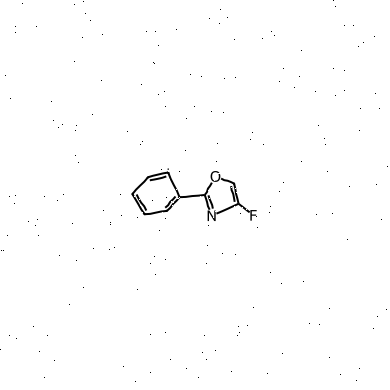 Fc1coc(-c2[c]cccc2)n1